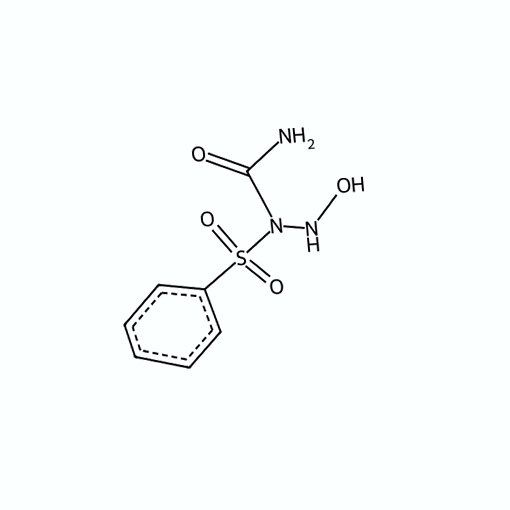 NC(=O)N(NO)S(=O)(=O)c1ccccc1